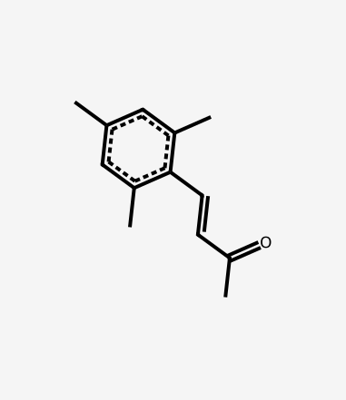 CC(=O)C=Cc1c(C)cc(C)cc1C